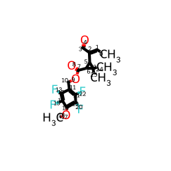 C/C=C(/C=O)C1C(C(=O)OCc2c(F)c(F)c(OC)c(F)c2F)C1(C)C